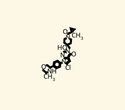 CC1COCC(c2ccc(-n3c(Cl)cc4c(=O)n(CC5(O)CCN(C(=O)C6(C)CC6)CC5)cnc43)cc2)N1